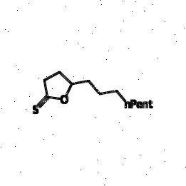 CCCCCCCCC1CCC(=S)O1